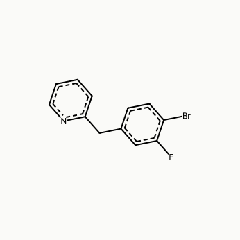 Fc1cc(Cc2ccccn2)ccc1Br